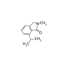 CC(C)c1cccc2c1C(=O)N(C)C2